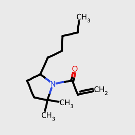 C=CC(=O)N1C(CCCCC)CCC1(C)C